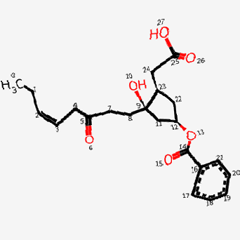 CC/C=C\CC(=O)CC[C@@]1(O)C[C@H](OC(=O)c2ccccc2)C[C@@H]1CC(=O)O